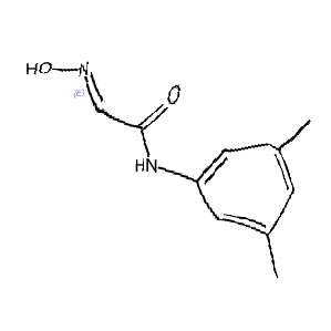 Cc1cc(C)cc(NC(=O)/C=N/O)c1